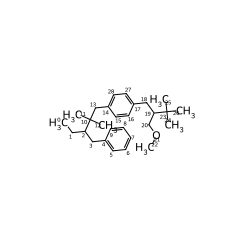 CCC(Cc1ccccc1)C(C)(C)Cc1ccc(CC(COC)C(C)(C)C)cc1